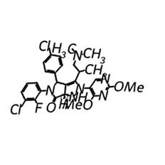 COc1ncc(N2N[C@@H]3C(=O)N(c4cccc(Cl)c4F)C(c4ccc(Cl)cc4)C3=C2C(C)CN(C)C)c(OC)n1